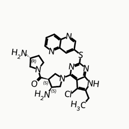 CCc1[nH]c2nc(Sc3cnc4cccnc4c3)nc(N3C[C@@H](N)[C@@H](C(=O)N4CC[C@@H](N)C4)C3)c2c1Cl